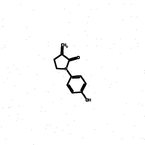 C=C1CCN(c2ccc(O)cc2)C1=O